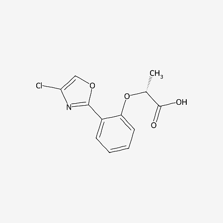 C[C@@H](Oc1ccccc1-c1nc(Cl)co1)C(=O)O